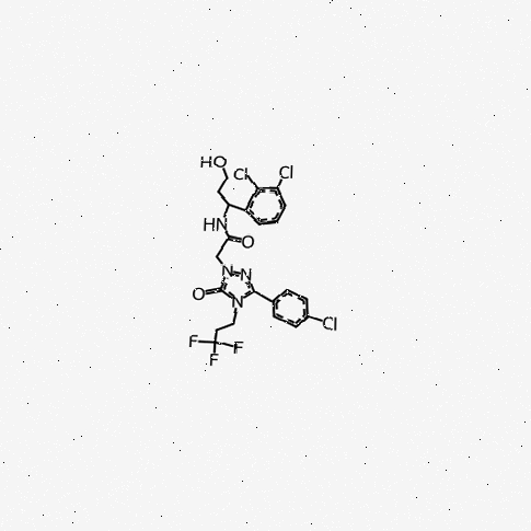 O=C(Cn1nc(-c2ccc(Cl)cc2)n(CCC(F)(F)F)c1=O)NC(CCO)c1cccc(Cl)c1Cl